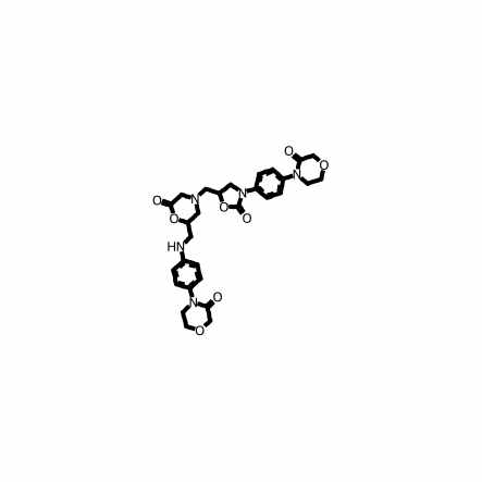 O=C1CN(CC2CN(c3ccc(N4CCOCC4=O)cc3)C(=O)O2)CC(CNc2ccc(N3CCOCC3=O)cc2)O1